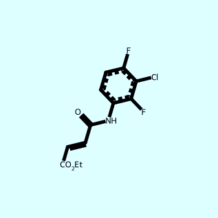 CCOC(=O)/C=C/C(=O)Nc1ccc(F)c(Cl)c1F